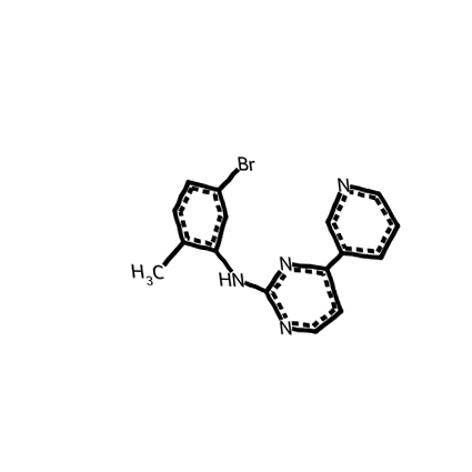 Cc1ccc(Br)cc1Nc1nccc(-c2cccnc2)n1